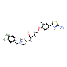 Cc1cc(C2CSC(N)=N2)ccc1OCCCC(=O)CC1CCN(Cc2ccc(Cl)c(Cl)c2)CC1